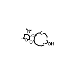 C[C@@H]1C[C@H](N(C)C)[C@@H](O)[C@H](OC2CCCCCCCC(O)CCCC2)O1